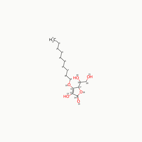 CCCCCCCCCCOC1=C(O)C(=O)OC1C(O)CO